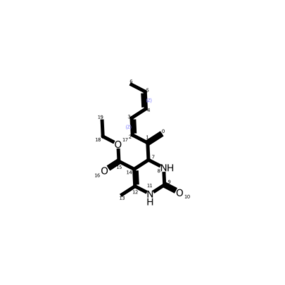 C=C(/C=C\C=C/C)C1NC(=O)NC(C)=C1C(=O)OCC